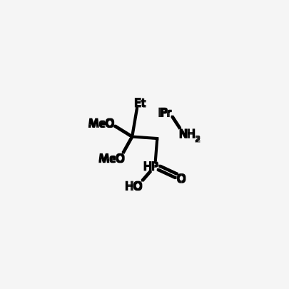 CC(C)N.CCC(C[PH](=O)O)(OC)OC